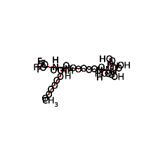 COCCOCCOCCOCCOCCOCCC(=O)N[C@H](CCCCNC(=O)CCCCC(=O)Oc1c(F)c(F)cc(F)c1F)C(=O)NCCOCCOCCOCCOCCOCCNC(=O)CCC(C(=O)O)N1CCN(CC(=O)O)CCN(CC(=O)O)CCN(CC(=O)O)CC1